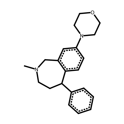 CN1CCC(c2ccccc2)c2ccc(N3CCOCC3)cc2C1